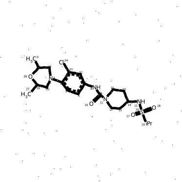 CC1CN(c2ccc(NC(=O)N3CCC(NS(=O)(=O)C(C)C)CC3)cc2Cl)CC(C)O1